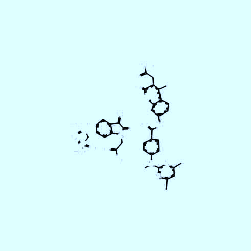 Cc1cc(C)nc(N(C)c2ccc(C(=O)Oc3ccc4c(C)c(CC(=O)O)c(=O)oc4c3)cc2)n1.O=C(O)CN1C(=O)C(=O)c2ccccc21.O=S(=O)(O)CS(=O)(=O)O